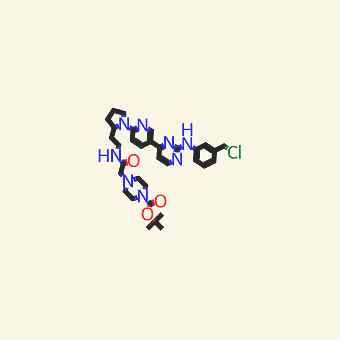 CC(C)(C)OC(=O)N1CCN(CC(=O)NCCC2CCCN2c2ccc(-c3ccnc(Nc4cccc(CCl)c4)n3)cn2)CC1